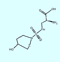 N[C@@H](CNS(=O)(=O)N1CCC(O)CC1)C(=O)O